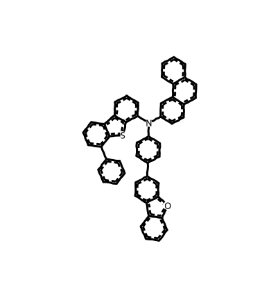 c1ccc(-c2cccc3c2sc2c(N(c4ccc(-c5ccc6c(c5)oc5ccccc56)cc4)c4ccc5ccc6ccccc6c5c4)cccc23)cc1